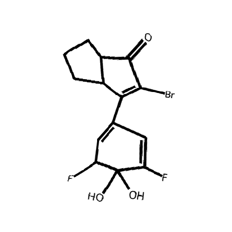 O=C1C(Br)=C(C2=CC(F)C(O)(O)C(F)=C2)C2CCCC12